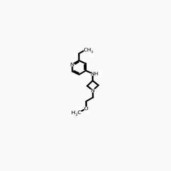 CCc1cc(NC2CN(CCOC)C2)ccn1